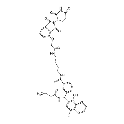 CCCC(=O)NC(c1cccc(C(=O)NCCCCNC(=O)COc2cccc3c2C(=O)N(C2CCC(=O)NC2=O)C3=O)c1)c1cc(Cl)c2cccnc2c1O